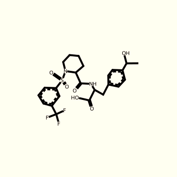 CC(O)c1ccc(CC(NC(=O)C2CCCCN2S(=O)(=O)c2cccc(C(F)(F)F)c2)C(=O)O)cc1